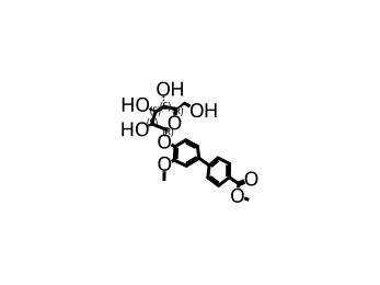 COC(=O)c1ccc(-c2ccc(O[C@H]3O[C@H](CO)[C@@H](O)[C@H](O)[C@@H]3O)c(OC)c2)cc1